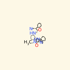 CCN(C(=O)c1nc2ccccc2[nH]1)[C@@]1(C)CCC[C@@H](NCc2oc3ccccc3c2C#N)C1